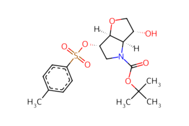 Cc1ccc(S(=O)(=O)O[C@H]2CN(C(=O)OC(C)(C)C)[C@H]3[C@@H]2OC[C@@H]3O)cc1